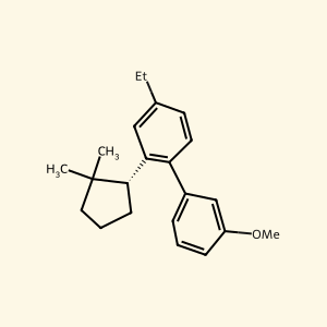 CCc1ccc(-c2cccc(OC)c2)c([C@@H]2CCCC2(C)C)c1